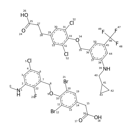 CNc1cc(Cl)cc(COc2c(Br)cc(CC(=O)O)cc2Br)c1F.O=C(O)CCc1cc(Cl)c(OCc2cc(NCC3CC3)cc(C(F)(F)F)c2)c(Cl)c1